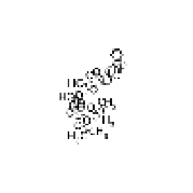 CC(C)C(=O)OCOP(=O)(OCOC(=O)C(C)C)OP(=O)(O)OC[C@H]1O[C@@H](n2ccc(=O)n(Cc3noc4ccccc34)c2=O)[C@@H](O)[C@H]1O